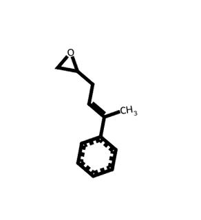 CC(=CCC1CO1)c1ccccc1